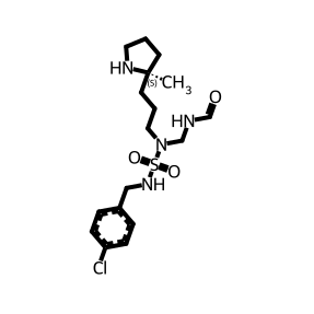 C[C@@]1(CCCN(CNC=O)S(=O)(=O)NCc2ccc(Cl)cc2)CCCN1